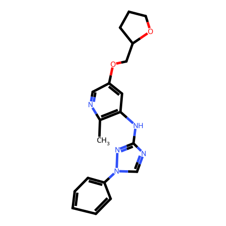 Cc1ncc(OCC2CCCO2)cc1Nc1ncn(-c2ccccc2)n1